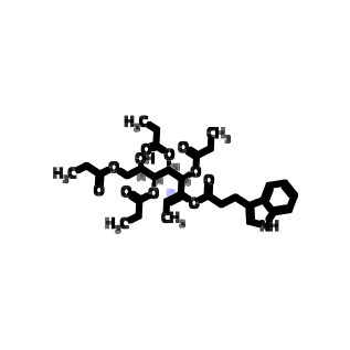 C/C=C(\OC(=O)CCc1c[nH]c2ccccc12)[C@H](OC(=O)CC)[C@@H](OC(=O)CC)[C@H](OC(=O)CC)[C@H](O)COC(=O)CC